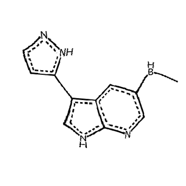 CBc1cnc2[nH]cc(-c3ccn[nH]3)c2c1